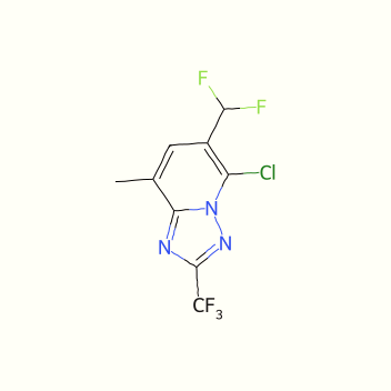 Cc1cc(C(F)F)c(Cl)n2nc(C(F)(F)F)nc12